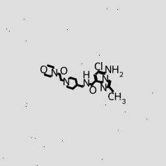 CCc1cn2c(N)c(Cl)cc(C(=O)NCC3CCN(CC(=O)N4CCOCC4)CC3)c2n1